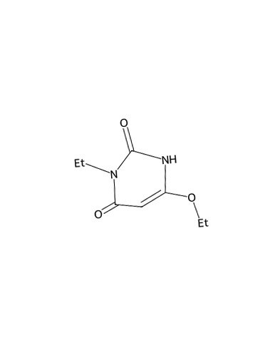 CCOc1cc(=O)n(CC)c(=O)[nH]1